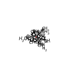 CN(C)CCN(C=O)c1ccc(N(CCN(C)CCN)c2ccc(N(C=O)CCN(C)C)c3[nH]c4ccc(O)cc4c(=O)c23)c2c(=O)c3cc(O)ccc3[nH]c12